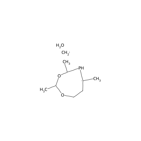 C[C]1CCOC(C)OC(C)P1.O.[CH2]